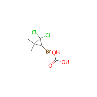 CC1(C)C(Br)C1(Cl)Cl.O=C(O)O